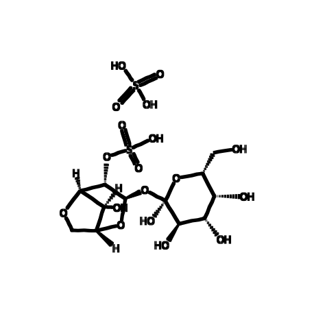 O=S(=O)(O)O.O=S(=O)(O)O[C@@H]1[C@@H](O[C@@]2(O)O[C@H](CO)[C@H](O)[C@H](O)[C@H]2O)O[C@@H]2CO[C@@H]1[C@H]2O